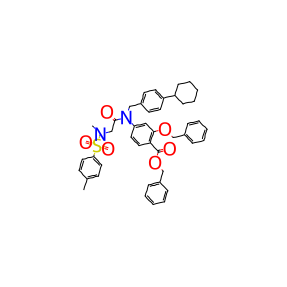 Cc1ccc(S(=O)(=O)N(C)CC(=O)N(Cc2ccc(C3CCCCC3)cc2)c2ccc(C(=O)OCc3ccccc3)c(OCc3ccccc3)c2)cc1